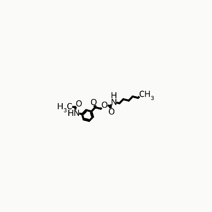 CCCCCCNC(=O)OCC(=O)c1cccc(NC(C)=O)c1